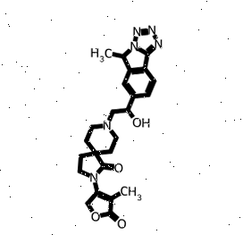 CC1=C(N2CCC3(CCN(CC(O)c4ccc5c(c4)C(C)n4nnnc4-5)CC3)C2=O)COC1=O